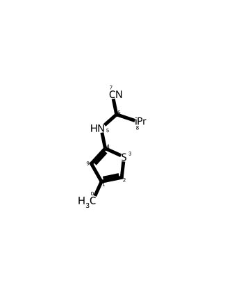 Cc1csc(NC(C#N)C(C)C)c1